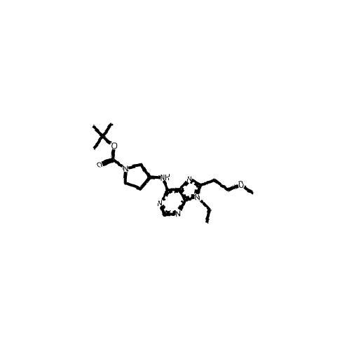 CCn1c(CCOC)nc2c(NC3CCN(C(=O)OC(C)(C)C)C3)ncnc21